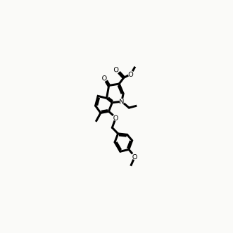 CCn1cc(C(=O)OC)c(=O)c2ccc(C)c(OCc3ccc(OC)cc3)c21